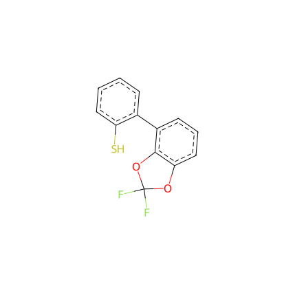 FC1(F)Oc2cccc(-c3ccccc3S)c2O1